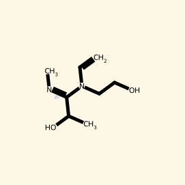 C=CN(CCO)/C(=N\C)C(C)O